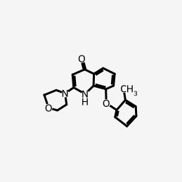 Cc1ccccc1Oc1cccc2c(=O)cc(N3CCOCC3)[nH]c12